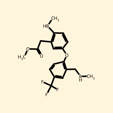 CBCc1cc(C(F)(F)F)ccc1Oc1ccc(BC)c(CC(=O)OC)c1